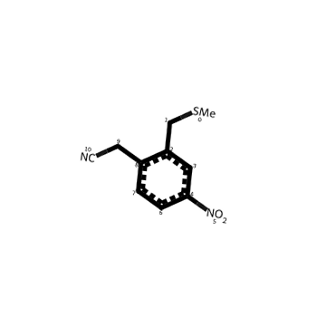 CSCc1cc([N+](=O)[O-])ccc1CC#N